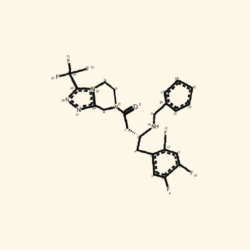 O=C(C[C@@H](Cc1cc(F)c(F)cc1F)NCc1ccccc1)N1CCn2c(nnc2C(F)(F)F)C1